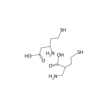 NC(CCS)CC(=O)O.NCC(CCS)C(=O)O